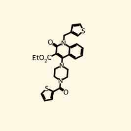 CCOC(=O)c1c(N2CCN(C(=O)c3cccs3)CC2)c2ccccc2n(Cc2ccsc2)c1=O